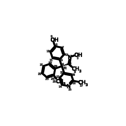 CC(=NO)[C@](c1ccc(O)cc1)(c1ccnc(C)c1)c1ccccc1C